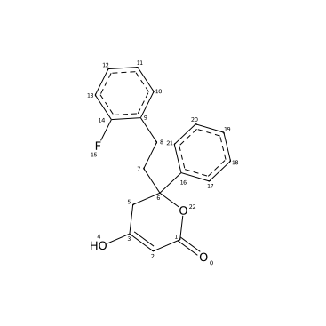 O=C1C=C(O)CC(CCc2ccccc2F)(c2ccccc2)O1